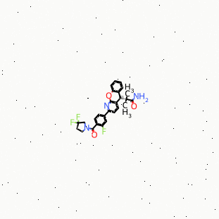 CC(C)(C(N)=O)[C@H]1c2ccccc2Oc2nc(-c3ccc(C(=O)N4CCC(F)(F)C4)c(F)c3)ccc21